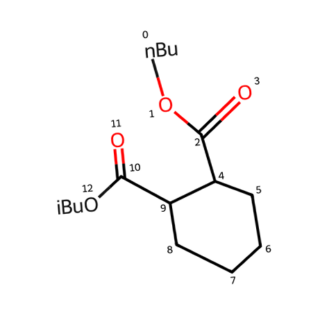 CCCCOC(=O)C1CCCCC1C(=O)OCC(C)C